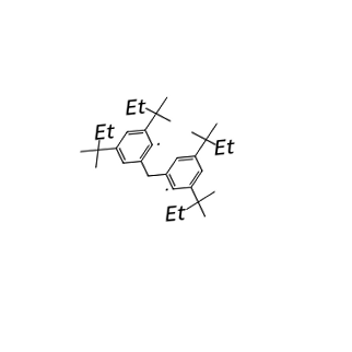 CCC(C)(C)c1[c]c(Cc2[c]c(C(C)(C)CC)cc(C(C)(C)CC)c2)cc(C(C)(C)CC)c1